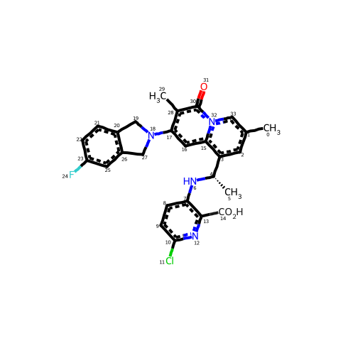 Cc1cc([C@H](C)Nc2ccc(Cl)nc2C(=O)O)c2cc(N3Cc4ccc(F)cc4C3)c(C)c(=O)n2c1